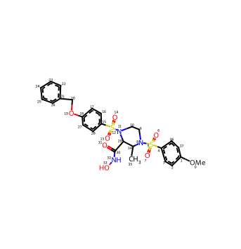 COc1ccc(S(=O)(=O)N2CCN(S(=O)(=O)c3ccc(OCc4ccccc4)cc3)C(C(=O)NO)C2C)cc1